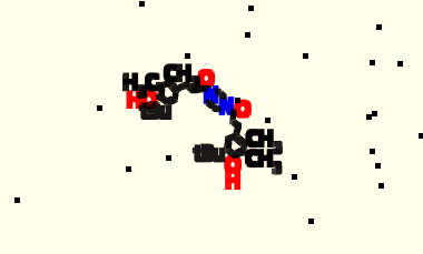 Cc1c(CCC(=O)N2CCN(C(=O)CCc3cc(C(C)(C)C)c(O)c(C)c3C)CC2)cc(C(C)(C)C)c(O)c1C